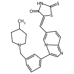 CC1CCN(Cc2cccc(-c3cnc4ccc(/C=C5\SC(=S)NC5=O)cn34)c2)CC1